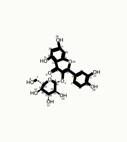 O=c1c(O[C@H]2O[C@@H](CO)[C@H](O)[C@@H](O)[C@@H]2O)c(-c2ccc(O)c(O)c2)oc2cc(O)cc(O)c12